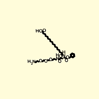 NCCCOCCOCCOCCCNC(=O)CC[C@H](NC(=O)CCCCCCCCCCCCCCCCC(=O)O)C(=O)OCc1ccccc1